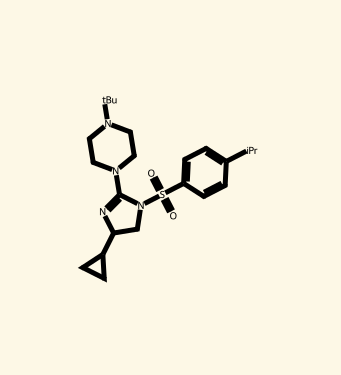 CC(C)c1ccc(S(=O)(=O)N2CC(C3CC3)N=C2N2CCN(C(C)(C)C)CC2)cc1